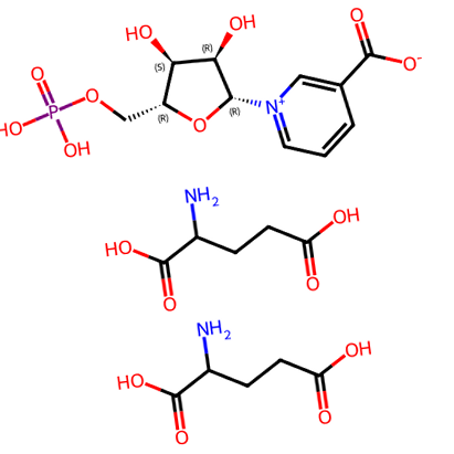 NC(CCC(=O)O)C(=O)O.NC(CCC(=O)O)C(=O)O.O=C([O-])c1ccc[n+]([C@@H]2O[C@H](COP(=O)(O)O)[C@@H](O)[C@H]2O)c1